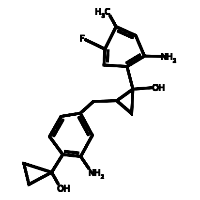 Cc1cc(N)c(C2(O)CC2Cc2ccc(C3(O)CC3)c(N)c2)cc1F